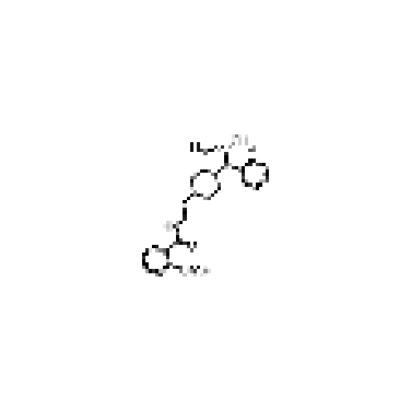 COc1ccccc1C(=O)NCCC1CCC(C(c2ccccc2)N(C)C)CC1